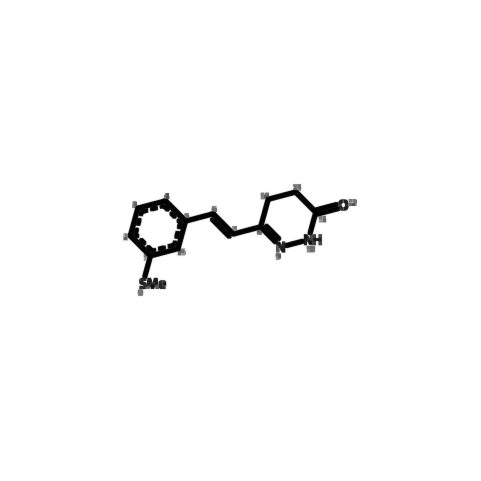 CSc1cccc(C=CC2=NNC(=O)CC2)c1